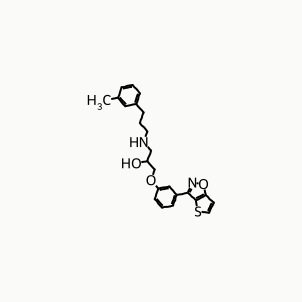 Cc1cccc(CCCNCC(O)COc2cccc(-c3noc4ccsc34)c2)c1